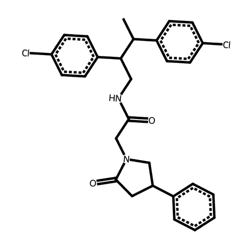 CC(c1ccc(Cl)cc1)C(CNC(=O)CN1CC(c2ccccc2)CC1=O)c1ccc(Cl)cc1